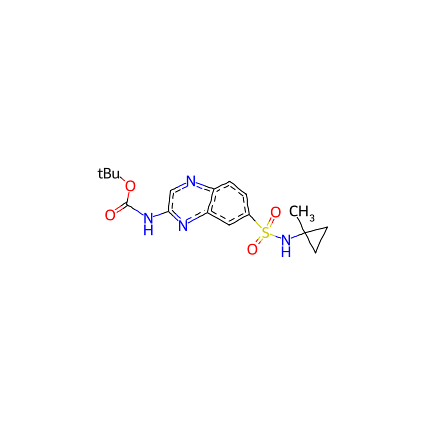 CC1(NS(=O)(=O)c2ccc3ncc(NC(=O)OC(C)(C)C)nc3c2)CC1